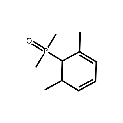 CC1=CC=CC(C)C1P(C)(C)=O